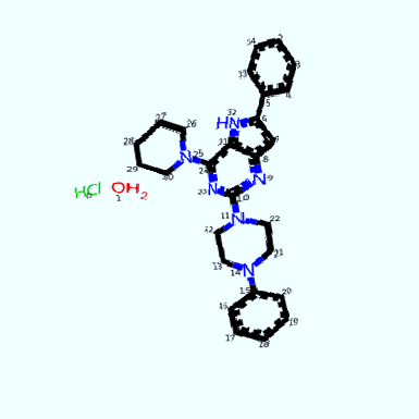 Cl.O.c1ccc(-c2cc3nc(N4CCN(c5ccccc5)CC4)nc(N4CCCCC4)c3[nH]2)cc1